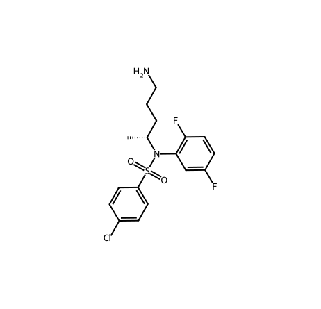 C[C@H](CCCN)N(c1cc(F)ccc1F)S(=O)(=O)c1ccc(Cl)cc1